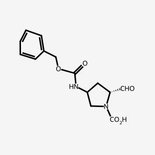 O=C[C@H]1CC(NC(=O)OCc2ccccc2)CN1C(=O)O